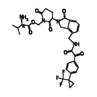 CC(C)[C@@H](N)C(=O)OCN1C(=O)CCC(N2Cc3c(CNC(=O)C(=O)c4ccc(C5(C(F)(F)F)CC5)cc4)cccc3C2=O)C1=O